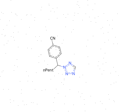 CCCCCC(c1ccc(C#N)cc1)n1ncnn1